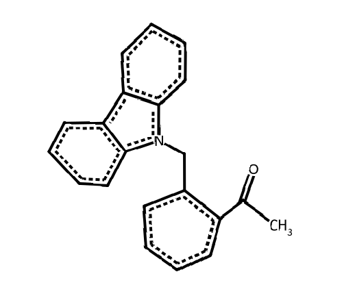 CC(=O)c1ccccc1Cn1c2ccccc2c2ccccc21